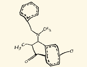 CC1C(=O)c2ccc(Cl)cc2C1N(C)Cc1ccccc1